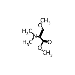 CO/C=C(/C(=O)OC)N(C)C